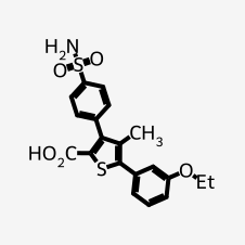 CCOc1cccc(-c2sc(C(=O)O)c(-c3ccc(S(N)(=O)=O)cc3)c2C)c1